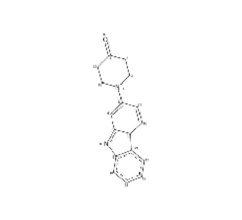 O=C1CCN(C2=[C]C3=Nc4ccccc4C3C=C2)CC1